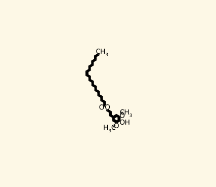 CCCCCCCC/C=C\CCCCCCCCCCCC(=O)OC/C=C/c1cc(OC)c(O)c(OC)c1